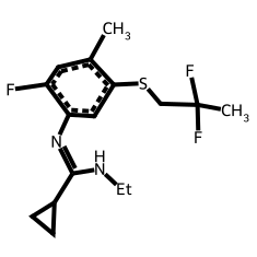 CCN/C(=N\c1cc(SCC(C)(F)F)c(C)cc1F)C1CC1